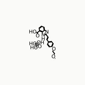 COCCOc1ccc(C=Cc2nc3cccc(C(=O)O)c3[nH]2)cc1.O=P(O)(O)O